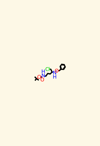 CC(C)(C)OC(=O)NCCCC(CCl)NOCc1ccccc1